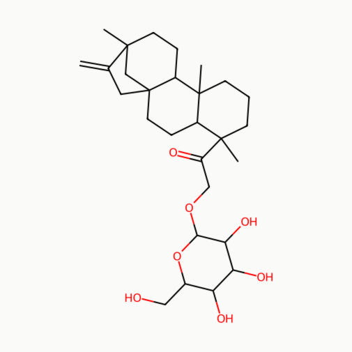 C=C1CC23CCC4C(C)(C(=O)COC5OC(CO)C(O)C(O)C5O)CCCC4(C)C2CCC1(C)C3